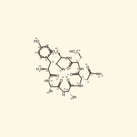 CC(C)C[C@H](NC(=O)[C@H](CC(=O)O)NC(=O)[C@H](CC(N)=O)NC(=O)[C@@H](NC(=O)[C@@H](NC(=O)[C@@H](N)Cc1ccc(O)cc1)C(C)C)C(C)C)C(=O)O